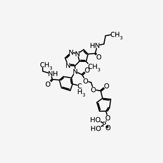 CCCNC(=O)c1cn2ncnc(N(C(=O)OCOC(=O)c3ccc(OP(=O)(O)O)cc3)c3cc(C(=O)NCC)ccc3C)c2c1C